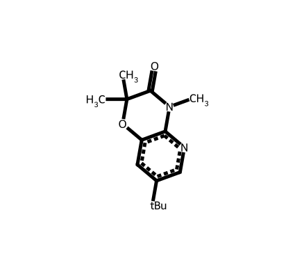 CN1C(=O)C(C)(C)Oc2cc(C(C)(C)C)cnc21